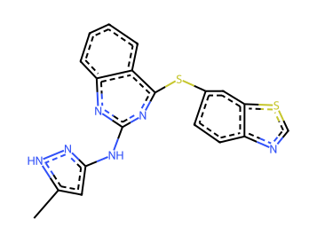 Cc1cc(Nc2nc(Sc3ccc4ncsc4c3)c3ccccc3n2)n[nH]1